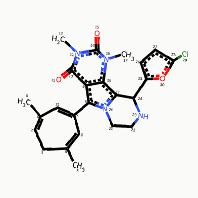 CC1=CCC(C)=CC(c2c3c(=O)n(C)c(=O)n(C)c3c3n2CCNC3c2ccc(Cl)o2)=C1